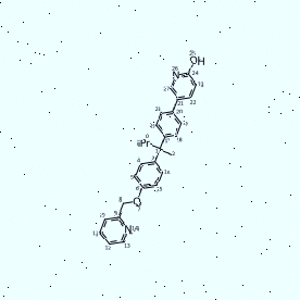 CC(C)C(C)(c1ccc(OCc2ccccn2)cc1)c1ccc(-c2ccc(O)nc2)cc1